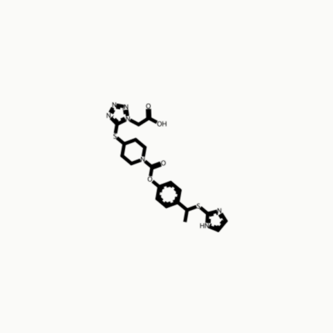 CC(Sc1ncc[nH]1)c1ccc(OC(=O)N2CCC(Sc3nnnn3CC(=O)O)CC2)cc1